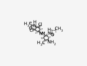 CCCC(=O)Nc1cc(N)c(C)cc1N=Nc1cc(Cl)c(NC(C)=O)c(Cl)c1